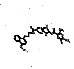 COc1ccc(CCCNC(=O)N2CCC3(CC2)CN/C(=N\C(=O)c2nc(Cl)c(N)nc2N)N3)c2ccccc12